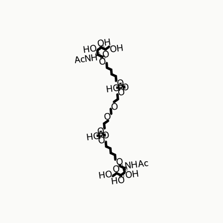 CC(=O)N[C@H]1C(O)[C@@H](O)C(CO)O[C@H]1OCCCCCCOP(=O)(O)OCCCOCCOCCCOP(=O)(O)OCCCCCCO[C@@H]1OC(CO)[C@H](O)C(O)[C@@H]1NC(C)=O